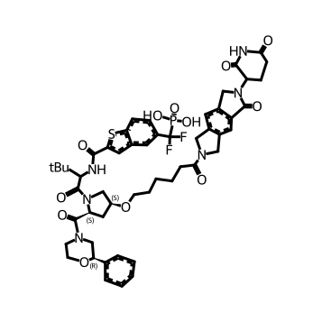 CC(C)(C)C(NC(=O)c1cc2cc(C(F)(F)P(=O)(O)O)ccc2s1)C(=O)N1C[C@@H](OCCCCCC(=O)N2Cc3cc4c(cc3C2)C(=O)N(C2CCC(=O)NC2=O)C4)C[C@H]1C(=O)N1CCO[C@H](c2ccccc2)C1